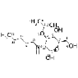 [CH2]C(C)O[C@H]1[C@H](O)[C@@H](CO)O[C@H](O)[C@@H]1NCCCCC